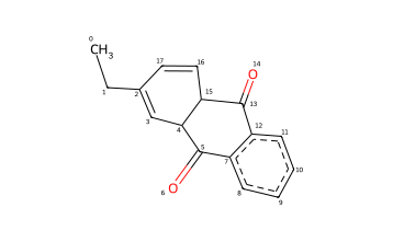 CCC1=CC2C(=O)c3ccccc3C(=O)C2C=C1